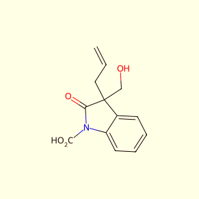 C=CCC1(CO)C(=O)N(C(=O)O)c2ccccc21